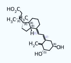 C=C1/C(=C\C=C2/CCC[C@]3(C)[C@@H]([C@H](C)CC(=O)O)CC[C@@H]23)C[C@@H](O)C[C@@H]1O